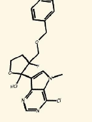 Cn1cc(C2(O)OCCC2(F)COCc2ccccc2)c2ncnc(Cl)c21